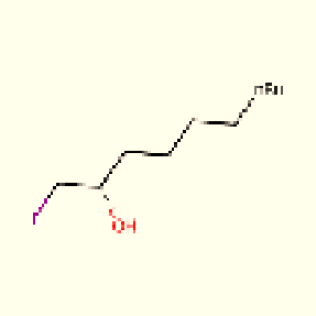 CCCCCCCC[C@H](O)CI